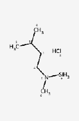 CC(C)CCN(C)[SiH3].Cl